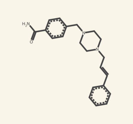 NC(=O)c1ccc(CN2CCN(C/C=C/c3ccccc3)CC2)cc1